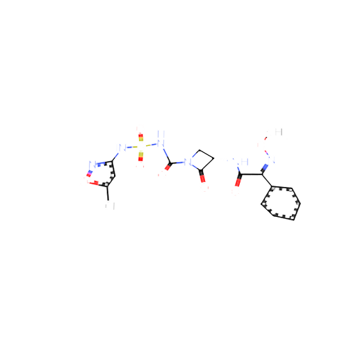 CO/N=C(\C(=O)N[C@H]1CN(C(=O)NS(=O)(=O)Nc2cc(C)on2)C1=O)c1ccccc1